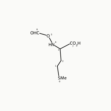 CSCCC(NOC=O)C(=O)O